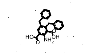 Nc1c(C(=O)O)cc(Cc2ccccc2)c(Cc2ccccc2)c1C(=O)O